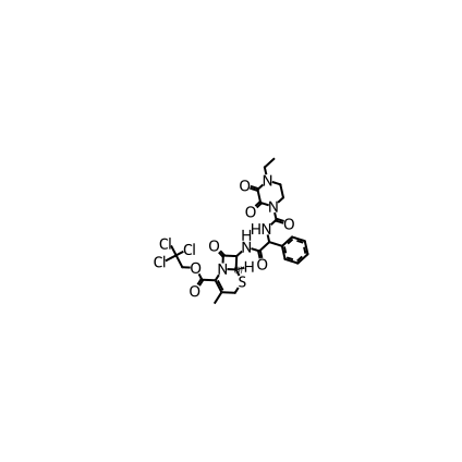 CCN1CCN(C(=O)NC(C(=O)NC2C(=O)N3C(C(=O)OCC(Cl)(Cl)Cl)=C(C)CS[C@@H]23)c2ccccc2)C(=O)C1=O